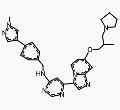 CC(COc1ccn2c(-c3cc(NCc4ccc(-c5cnn(C)c5)cc4)ncn3)cnc2c1)CN1CCCC1